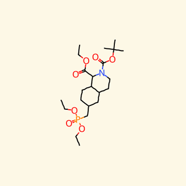 CCOC(=O)C1C2CCC(CP(=O)(OCC)OCC)CC2CCN1C(=O)OC(C)(C)C